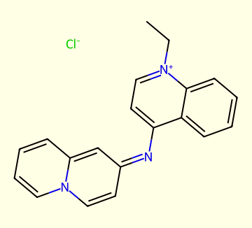 CC[n+]1ccc(/N=c2/ccn3ccccc3c2)c2ccccc21.[Cl-]